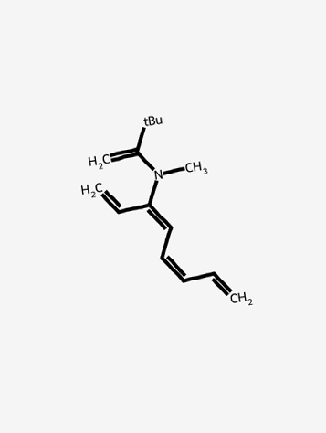 C=C/C=C\C=C(/C=C)N(C)C(=C)C(C)(C)C